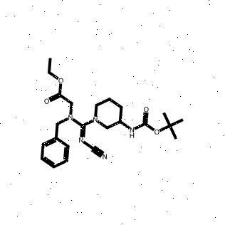 CCOC(=O)CN(Cc1ccccc1)C(=NC#N)N1CCCC(NC(=O)OC(C)(C)C)C1